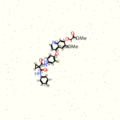 COC(=O)COc1cc2nccc(Oc3ccc(NC(=O)C4(C(=O)Nc5ccc(F)cc5)CC4)cc3F)c2cc1OC